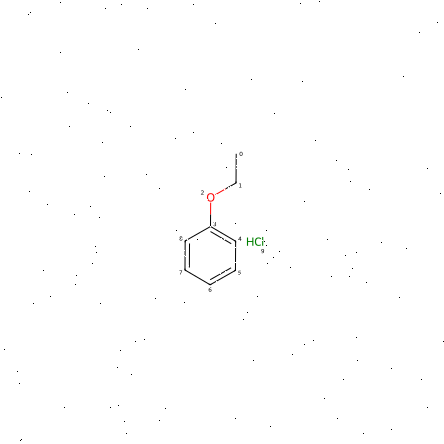 CCOc1ccccc1.Cl